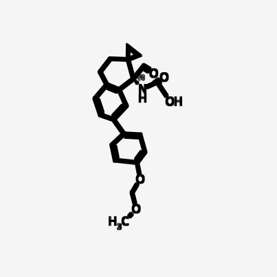 COCOc1ccc(-c2ccc3c(c2)[C@@](C=O)(NC(=O)O)C2(CC3)CC2)cc1